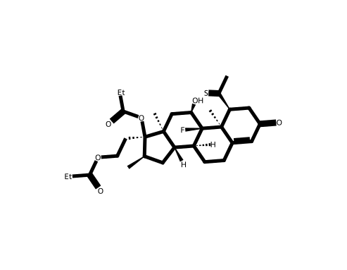 CCC(=O)OCC[C@@]1(OC(=O)CC)[C@H](C)C[C@H]2[C@@H]3CCC4=CC(=O)C[C@H](C(C)=S)[C@]4(C)[C@@]3(F)[C@H](O)C[C@@]21C